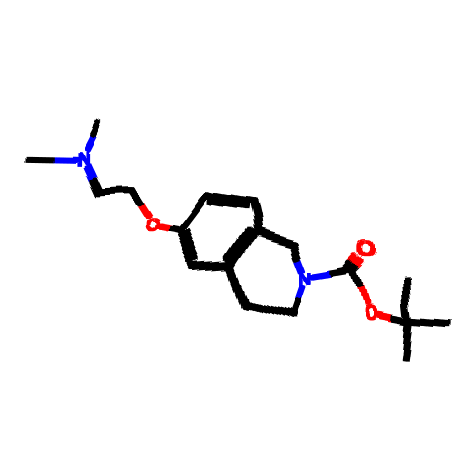 CN(C)CCOc1ccc2c(c1)CCN(C(=O)OC(C)(C)C)C2